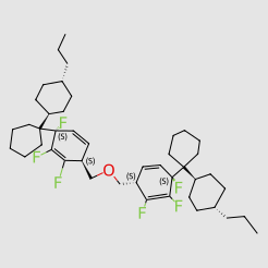 CCC[C@H]1CC[C@H](C2([C@@]3(F)C=C[C@@H](COC[C@@H]4C=C[C@](F)(C5([C@H]6CC[C@H](CCC)CC6)CCCCC5)C(F)=C4F)C(F)=C3F)CCCCC2)CC1